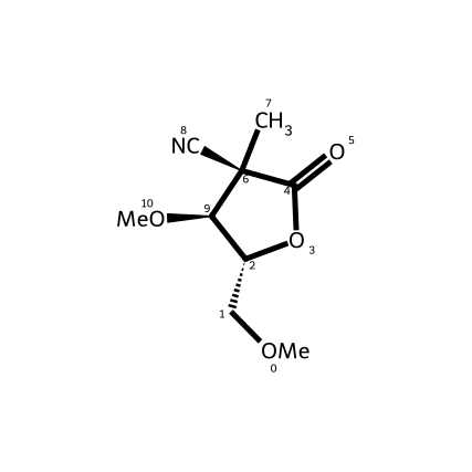 COC[C@H]1OC(=O)[C@](C)(C#N)[C@@H]1OC